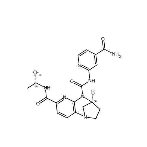 C[C@@H](NC(=O)c1ccc2c(n1)N(C(=O)Nc1cc(C(N)=O)ccn1)[C@H]1CCN2C1)C(F)(F)F